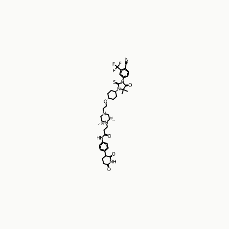 C[C@@H]1CN(CCO[C@H]2CC[C@H](N3C(=S)N(c4ccc(C#N)c(C(F)(F)F)c4)C(=O)C3(C)C)CC2)C[C@H](C)N1CCC(=O)Nc1ccc(C2CCC(=O)NC2=O)cc1